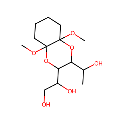 COC12CCCCC1(OC)OC(C(O)CO)C(C(C)O)O2